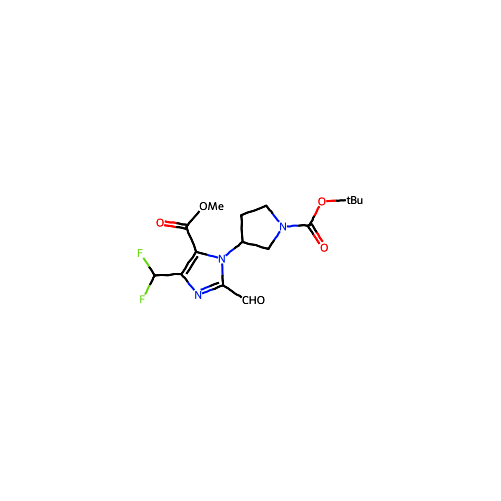 COC(=O)c1c(C(F)F)nc(C=O)n1C1CCN(C(=O)OC(C)(C)C)C1